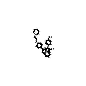 CCc1c(-c2ccc(O)cc2)c2c(-c3ccc(OCCN4CCCCC4)cc3)cc3cccc1n32